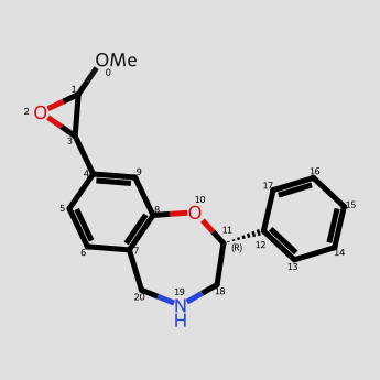 COC1OC1c1ccc2c(c1)O[C@H](c1ccccc1)CNC2